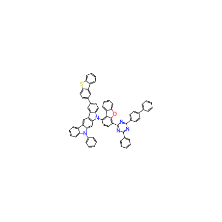 c1ccc(-c2ccc(-c3nc(-c4ccccc4)nc(-c4ccc(-n5c6ccc(-c7ccc8sc9ccccc9c8c7)cc6c6cc7c8ccccc8n(-c8ccccc8)c7cc65)c5c4oc4ccccc45)n3)cc2)cc1